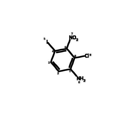 Nc1ccc(I)c([N+](=O)[O-])c1Cl